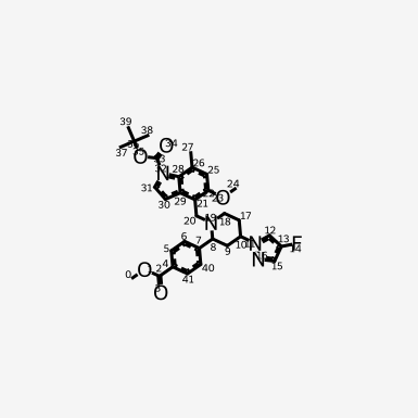 COC(=O)c1ccc(C2CC(n3cc(F)cn3)CCN2Cc2c(OC)cc(C)c3c2ccn3C(=O)OC(C)(C)C)cc1